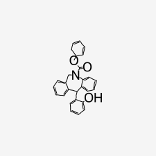 O=C(OC1C=CC=CC1)N1Cc2ccccc2C(c2ccccc2O)c2ccccc21